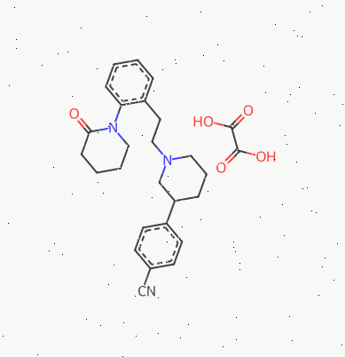 N#Cc1ccc(C2CCCN(CCc3ccccc3N3CCCCC3=O)C2)cc1.O=C(O)C(=O)O